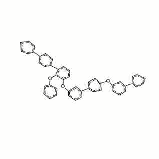 c1ccc(Oc2c(Oc3cccc(-c4ccc(Oc5cccc(-c6ccccc6)c5)cc4)c3)cccc2-c2ccc(-c3ccccc3)cc2)cc1